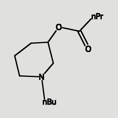 CCCCN1CCCC(OC(=O)CCC)C1